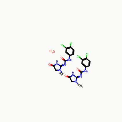 CN1CC(=O)N/C1=N\C(=O)Nc1ccc(Cl)c(Cl)c1.CN1CC(=O)N/C1=N\C(=O)Nc1ccc(Cl)c(Cl)c1.O